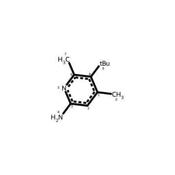 Cc1cc(N)nc(C)c1C(C)(C)C